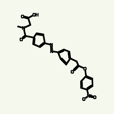 CN(CC(=O)O)C(=O)c1ccc(/N=N/c2ccc(CC(=O)Oc3ccc([N+](=O)[O-])cc3)cc2)cc1